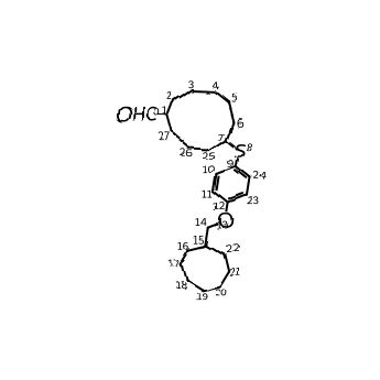 O=CC1CCCCCC(Sc2ccc(OCC3CCCCCCC3)cc2)CCC1